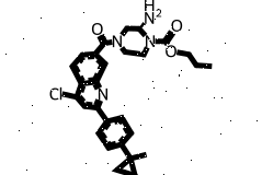 CCCOC(=O)N1CCN(C(=O)c2ccc3c(Cl)cc(-c4ccc(C5(C)CC5)cc4)nc3c2)C[C@H]1N